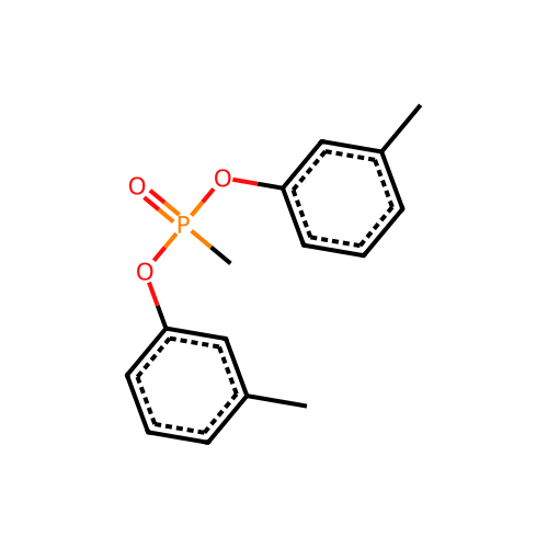 Cc1cccc(OP(C)(=O)Oc2cccc(C)c2)c1